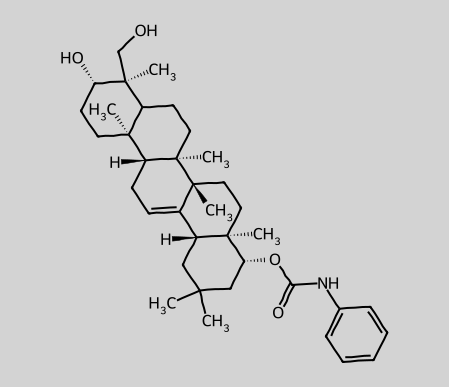 CC1(C)C[C@@H]2C3=CC[C@@H]4[C@@]5(C)CC[C@H](O)[C@@](C)(CO)C5CC[C@@]4(C)[C@]3(C)CC[C@@]2(C)[C@H](OC(=O)Nc2ccccc2)C1